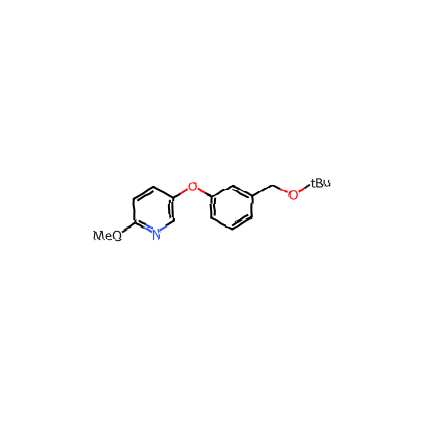 COc1ccc(Oc2cccc(COC(C)(C)C)c2)cn1